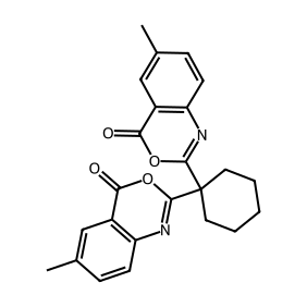 Cc1ccc2nc(C3(c4nc5ccc(C)cc5c(=O)o4)CCCCC3)oc(=O)c2c1